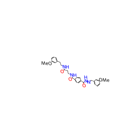 COc1cccc(/C=N/NC(=O)c2ccc(C(=O)NCCC(=O)NCCc3cccc(OC)c3)cc2)c1